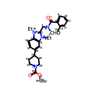 CCn1c(CN(C=O)C(=O)c2ccccc2C)[n+](CC)c2ccc(C3CCN(C(=O)OC(C)(C)C)CC3)cc21